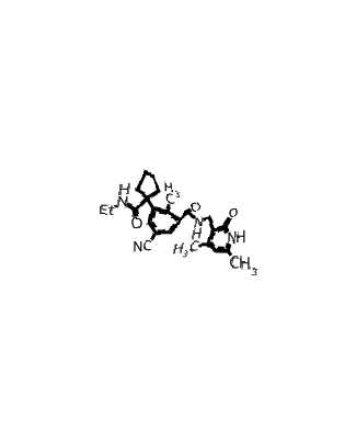 CCNC(=O)C1(c2cc(C#N)cc(C(=O)NCc3c(C)cc(C)[nH]c3=O)c2C)CCCC1